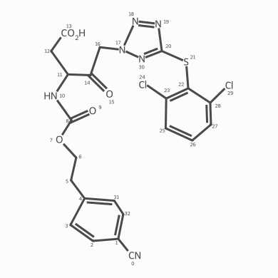 N#Cc1ccc(CCOC(=O)NC(CC(=O)O)C(=O)Cn2nnc(Sc3c(Cl)cccc3Cl)n2)cc1